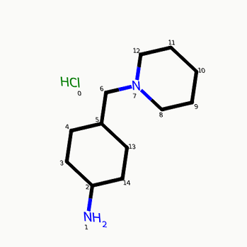 Cl.NC1CCC(CN2CCCCC2)CC1